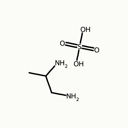 CC(N)CN.O=S(=O)(O)O